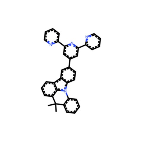 CC1(C)c2ccccc2-n2c3ccc(-c4cc(-c5ccccn5)nc(-c5ccccn5)c4)cc3c3cccc1c32